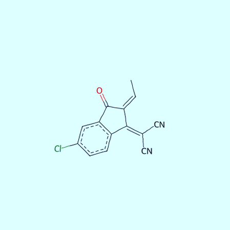 C/C=C1\C(=O)c2cc(Cl)ccc2C1=C(C#N)C#N